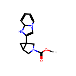 CC(C)(C)OC(=O)N1CC2CC2(C2=CN3C=CC=CC3N2)C1